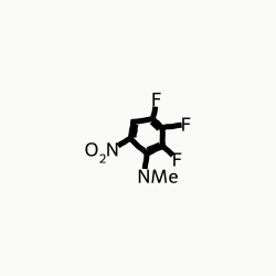 CNc1c([N+](=O)[O-])cc(F)c(F)c1F